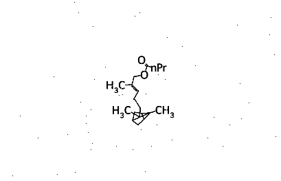 CCCC(=O)OC/C(C)=C/CCC1(C)C2CC3C(C2)C31C